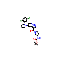 CC(C)(C)OC(=O)N[C@H]1CCN(C(=O)c2cnn3ccc(N4CCC[C@@H]4c4cc(F)ccc4F)cc23)C1